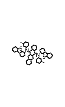 Cc1cccc(N(c2c3ccccc3c(N(c3cccc(C)c3)c3cccc4c3sc3ccccc34)c3cc4ccccc4cc23)c2cccc3c2sc2ccccc23)c1